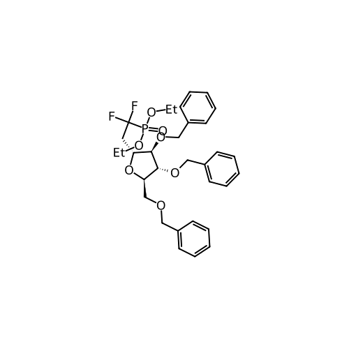 CCOP(=O)(OCC)C(F)(F)C[C@H]1O[C@H](COCc2ccccc2)[C@@H](OCc2ccccc2)[C@@H]1OCc1ccccc1